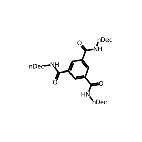 CCCCCCCCCCNC(=O)c1cc(C(=O)NCCCCCCCCCC)cc(C(=O)NCCCCCCCCCC)c1